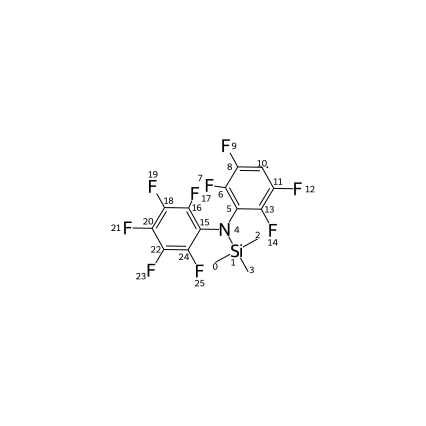 C[Si](C)(C)N(c1c(F)c(F)[c]c(F)c1F)c1c(F)c(F)c(F)c(F)c1F